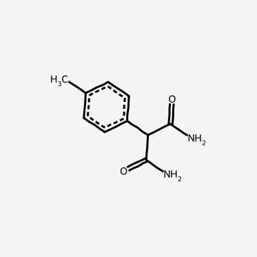 Cc1ccc(C(C(N)=O)C(N)=O)cc1